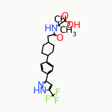 CC(C)(NC(=O)CC1CCC(c2ccc(-c3cc(C(F)(F)F)[nH]n3)cc2)CC1)C(=O)O